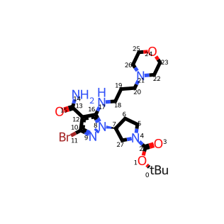 CC(C)(C)OC(=O)N1CC[C@H](n2nc(Br)c(C(N)=O)c2NCCCN2CCOCC2)C1